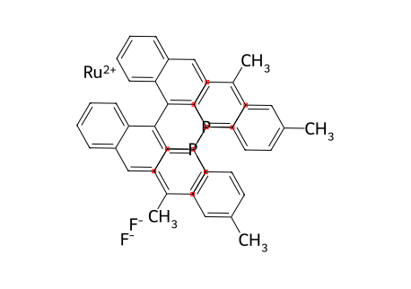 Cc1ccc(P(c2ccc(C)cc2)c2ccc3ccccc3c2-c2c(P(c3ccc(C)cc3)c3ccc(C)cc3)ccc3ccccc23)cc1.[F-].[F-].[Ru+2]